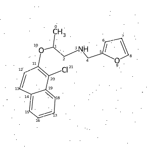 CC(CNCc1ccco1)Oc1ccc2ccccc2c1Cl